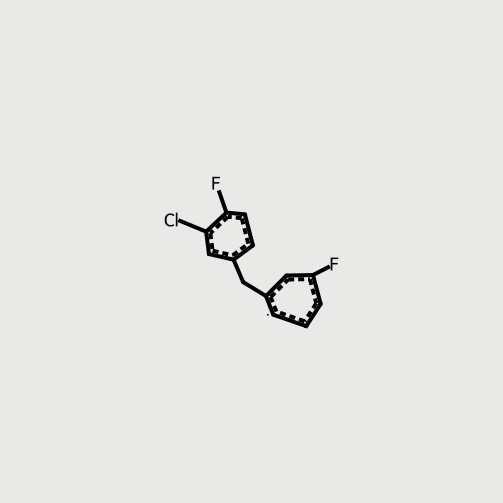 Fc1cc[c]c(Cc2ccc(F)c(Cl)c2)c1